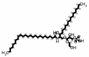 CCCCCCCC/C=C\CCCCCCCCCCCCCC(=O)NC(CO[C@H](OCCO)[C@@H](O)COS(=O)(=O)O)[C@H](O)/C=C/CCCCCCCCCCCCC